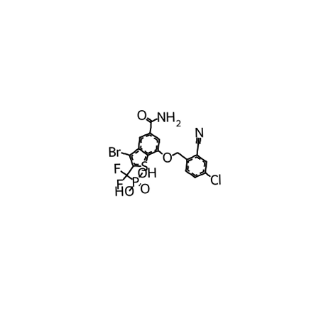 N#Cc1cc(Cl)ccc1COc1cc(C(N)=O)cc2c(Br)c(C(F)(F)P(=O)(O)O)sc12